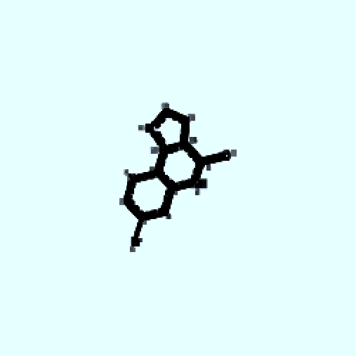 O=c1[nH]c2cc(Br)cnc2n2nccc12